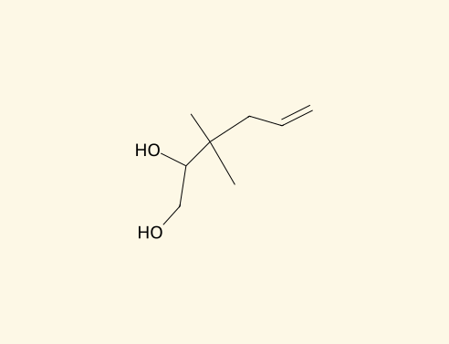 C=CCC(C)(C)C(O)CO